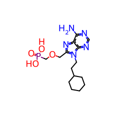 Nc1ncnc2c1nc(COCP(=O)(O)O)n2CCC1CCCCC1